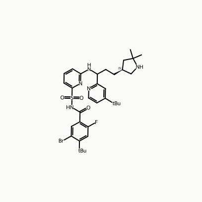 CC1(C)C[C@H](CCC(Nc2cccc(S(=O)(=O)NC(=O)c3cc(Br)c(C(C)(C)C)cc3F)n2)c2cc(C(C)(C)C)ccn2)CN1